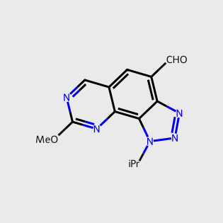 COc1ncc2cc(C=O)c3nnn(C(C)C)c3c2n1